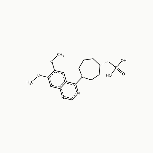 COc1cc2ncnc(N3CCC[C@H](CP(=O)(O)O)CC3)c2cc1OC